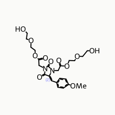 COc1ccc(/C=C2/C(=O)N(CC(=O)OCCOCCO)C(=O)N2CC(=O)OCCOCCO)cc1